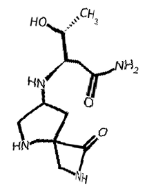 C[C@@H](O)[C@H](NC1CNC2(CNC2=O)C1)C(N)=O